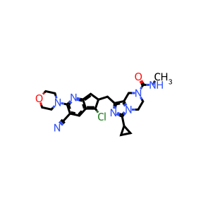 CNC(=O)N1CCn2c(C3CC3)nc(CC3C=c4nc(N5CCOCC5)c(C#N)cc4=C3Cl)c2C1